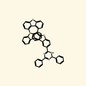 c1ccc(C2=NC(c3ccccc3)NC(c3ccc4oc5c(-c6cccc7sc8cccc(-n9c%10ccccc%10c%10ccccc%109)c8c67)cccc5c4c3)=N2)cc1